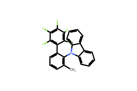 Cc1cccc(-c2c(F)c(F)c(F)c(F)c2F)c1-n1c2ccccc2c2ccccc21